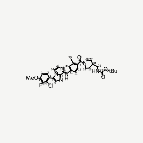 COc1ccc(-c2cnc3c(Nc4ccc(C(=O)N5CCC(CNC(=O)OC(C)(C)C)CC5)c(C)c4)nccn23)c(Cl)c1F